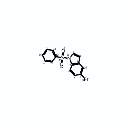 CCc1ccc2c(ccn2S(=O)(=O)c2ccccc2)c1